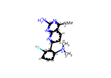 CNc1nc(N)nc2nc(-c3c(F)cccc3N(C)C)ccc12